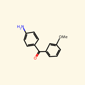 COc1cccc(C(=O)c2ccc(N)cc2)c1